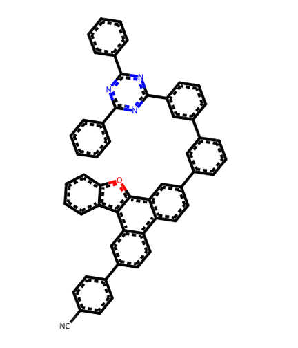 N#Cc1ccc(-c2ccc3c4ccc(-c5cccc(-c6cccc(-c7nc(-c8ccccc8)nc(-c8ccccc8)n7)c6)c5)cc4c4oc5ccccc5c4c3c2)cc1